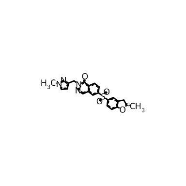 C[C@H]1Cc2cc(S(=O)(=O)c3ccc4c(=O)n(Cc5ccn(C)n5)ncc4c3)ccc2O1